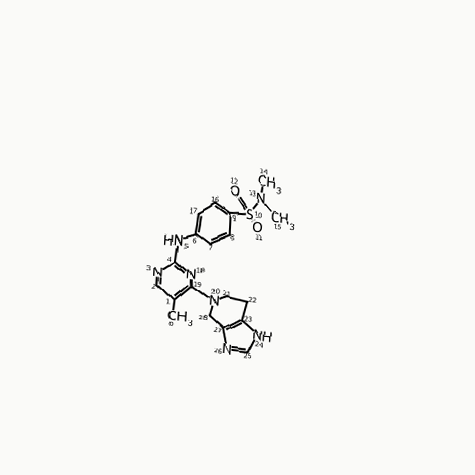 Cc1cnc(Nc2ccc(S(=O)(=O)N(C)C)cc2)nc1N1CCc2[nH]cnc2C1